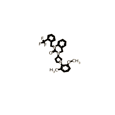 COc1cccc(C)c1N1CCC(N2Cc3ccccc3N(Cc3ccccc3C(F)(F)F)C2=O)C1